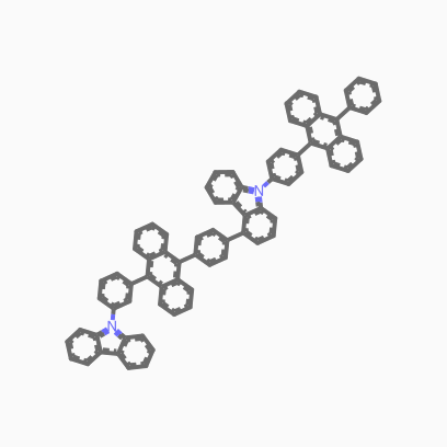 c1ccc(-c2c3ccccc3c(-c3ccc(-n4c5ccccc5c5c(-c6ccc(-c7c8ccccc8c(-c8cccc(-n9c%10ccccc%10c%10ccccc%109)c8)c8ccccc78)cc6)cccc54)cc3)c3ccccc23)cc1